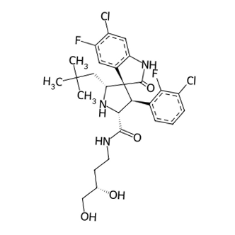 CC(C)(C)C[C@H]1N[C@@H](C(=O)NCC[C@H](O)CO)[C@H](c2cccc(Cl)c2F)[C@@]12C(=O)Nc1cc(Cl)c(F)cc12